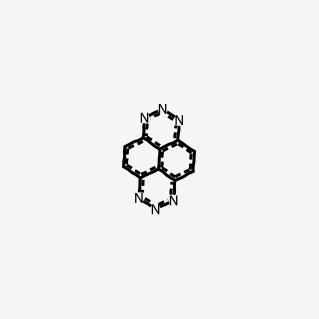 c1cc2nnnc3ccc4nnnc1c4c23